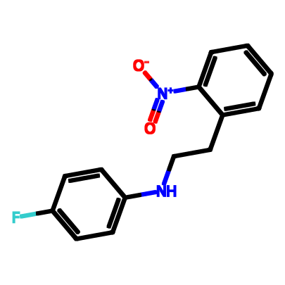 O=[N+]([O-])c1ccccc1CCNc1ccc(F)cc1